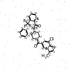 Cc1cnc2c(Cl)cc(C(=O)N3CC[C@@H](NC(=O)c4ncccc4C(F)(F)F)[C@@H](c4ccccc4)C3)cn12